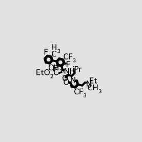 CCOC(=O)C[C@H](NC(=O)C(CC(C)C)n1cc(CCN(C)CC)c(C(F)(F)F)cc1=O)c1c(F)c(-c2c(C)ccc(F)c2C)cc(C(F)(F)F)c1F